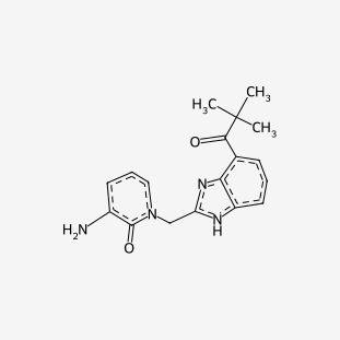 CC(C)(C)C(=O)c1cccc2[nH]c(Cn3cccc(N)c3=O)nc12